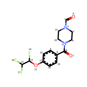 O=CN1CCN(C(=O)c2ccc(OC(F)C(F)F)cc2)CC1